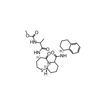 COC(=O)NC(C)C(=O)N[C@H]1CCS[C@H]2CCCC(C(=O)N[C@@H]3CCCc4ccccc43)N2C1=O